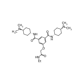 CCNC(=O)COc1cc(C(=O)N[C@H]2CC[C@H](N(C)C)CC2)cc(C(=O)N[C@H]2CC[C@H](N(C)C)CC2)c1